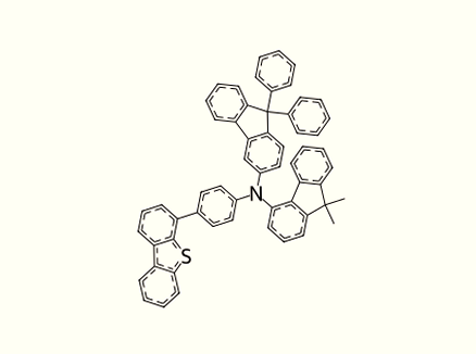 CC1(C)c2ccccc2-c2c(N(c3ccc(-c4cccc5c4sc4ccccc45)cc3)c3ccc4c(c3)-c3ccccc3C4(c3ccccc3)c3ccccc3)cccc21